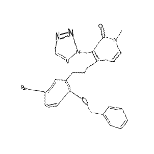 Cn1ccc(CCc2cc(Br)ccc2OCc2ccccc2)c(-n2ncnn2)c1=O